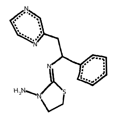 NN1CCS/C1=N\C(Cc1cnccn1)c1ccccc1